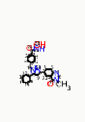 Cn1cnc2ccc(-c3cc(-c4ccccc4)n(Cc4ccc(C(=O)NO)cc4)n3)cc2c1=O